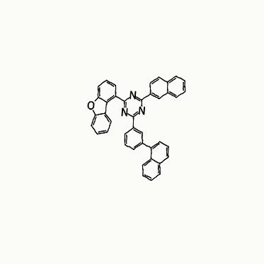 c1cc(-c2nc(-c3ccc4ccccc4c3)nc(-c3cccc4oc5ccccc5c34)n2)cc(-c2cccc3ccccc23)c1